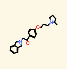 CC1CCCN1CCCOc1ccc(C(=O)CN2Cc3ccccc3C2)cc1